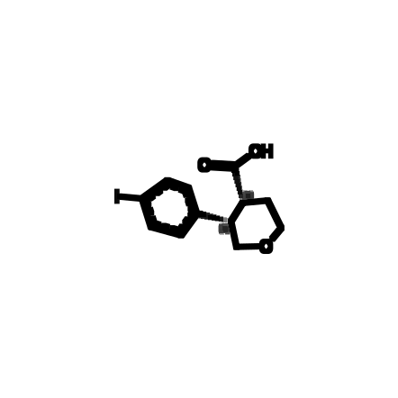 O=C(O)[C@@H]1CCOC[C@@H]1c1ccc(I)cc1